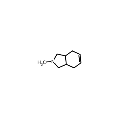 CN1CC2CC=CCC2C1